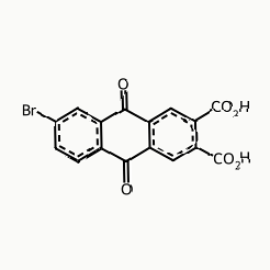 O=C(O)c1cc2c(cc1C(=O)O)C(=O)c1cc(Br)ccc1C2=O